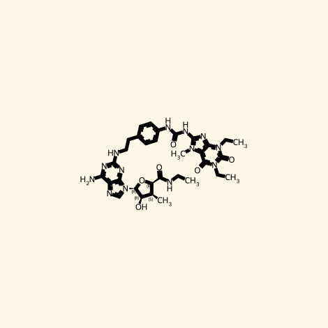 CCNC(=O)[C@@H]1O[C@@H](n2cnc3c(N)nc(NCCc4ccc(NC(=O)Nc5nc6c(c(=O)n(CC)c(=O)n6CC)n5C)cc4)nc32)[C@H](O)[C@@H]1C